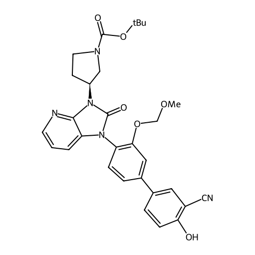 COCOc1cc(-c2ccc(O)c(C#N)c2)ccc1-n1c(=O)n([C@H]2CCN(C(=O)OC(C)(C)C)C2)c2ncccc21